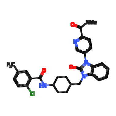 CNC(=O)c1ccc(-n2c(=O)n(CC3CCC(NC(=O)c4cc(C(F)(F)F)ccc4Cl)CC3)c3ccccc32)cn1